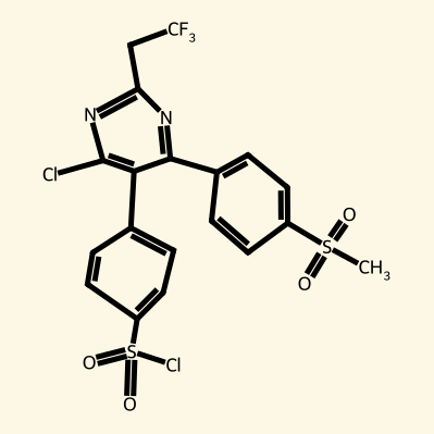 CS(=O)(=O)c1ccc(-c2nc(CC(F)(F)F)nc(Cl)c2-c2ccc(S(=O)(=O)Cl)cc2)cc1